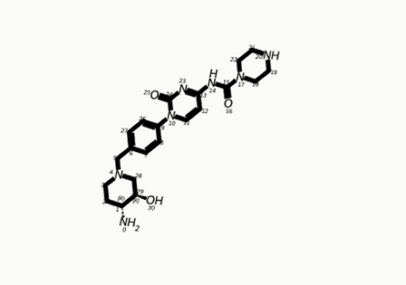 N[C@@H]1CCN(Cc2ccc(-n3ccc(NC(=O)N4CCNCC4)nc3=O)cc2)C[C@H]1O